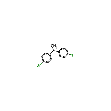 CC(c1ccc(F)cc1)c1ccc(Br)cc1